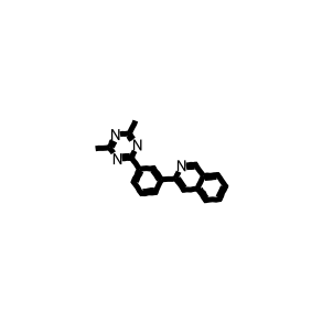 Cc1nc(C)nc(-c2cccc(-c3cc4ccccc4cn3)c2)n1